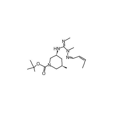 C/C=C\C=N/N(C)/C(=N\C)N[C@H]1C[C@@H](C)CN(C(=O)OC(C)(C)C)C1